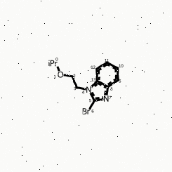 CC(C)OCCn1c(Br)nc2ccccc21